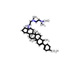 CC1C(C2=CCC(C(=O)O)CC2)=CCC2(C)C1CCC1(C)C2CCC2C3CCCC3(NCCN(C)CCN(C)C=O)CC[C@]21C